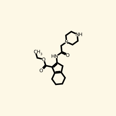 CCOC(=O)C1=C(NC(=O)CN2CCNCC2)CC2=C1CCCC2